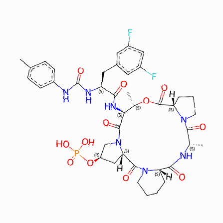 Cc1ccc(NC(=O)N[C@@H](Cc2cc(F)cc(F)c2)C(=O)N[C@@H]2C(=O)N3C[C@H](OP(=O)(O)O)C[C@H]3C(=O)N3CCCC[C@H]3C(=O)N[C@@H](C)C(=O)N3CCC[C@H]3C(=O)O[C@H]2C)cc1